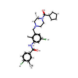 Cc1c(CN2CCN(C(=O)C3CCCC3)[C@@H](C)C2)cc(F)cc1NC(=O)c1ccc(F)c(C#N)c1